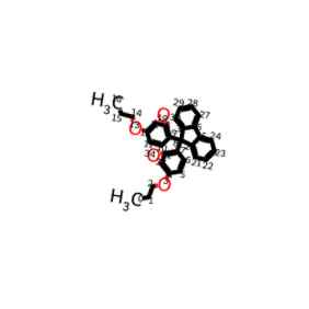 CCCOc1ccc(C2(c3ccc(OCCC)c4c3O4)c3ccccc3-c3ccccc32)c2c1O2